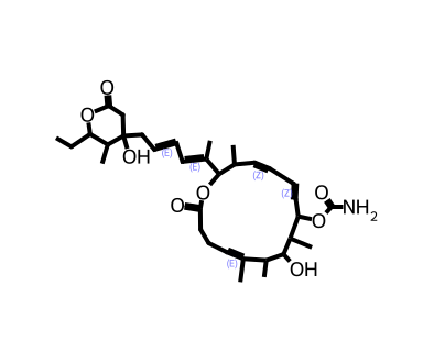 CCC1OC(=O)CC(O)(C/C=C/C=C(\C)C2OC(=O)CC/C=C(\C)C(C)C(O)C(C)C(OC(N)=O)/C=C\C=C/C2C)C1C